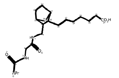 CCCC(=O)NCC(=O)NCC1C2CCC(O2)C1CCCCCCC(=O)O